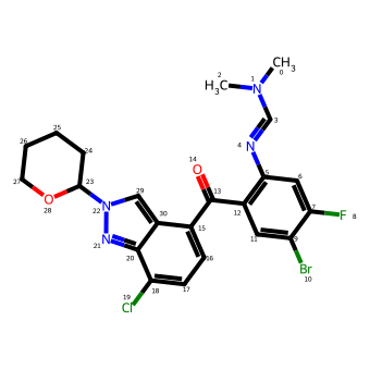 CN(C)/C=N/c1cc(F)c(Br)cc1C(=O)c1ccc(Cl)c2nn(C3CCCCO3)cc12